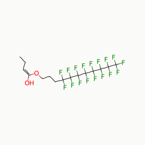 CCC=C(O)OCCCC(F)(F)C(F)(F)C(F)(F)C(F)(F)C(F)(F)C(F)(F)C(F)(F)C(F)(F)F